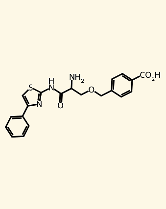 NC(COCc1ccc(C(=O)O)cc1)C(=O)Nc1nc(-c2ccccc2)cs1